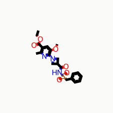 CCOC(=O)c1cc(OC)c(N2CC(C(=O)NS(=O)(=O)Cc3ccccc3)C2)nc1C